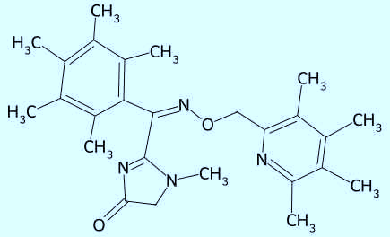 Cc1nc(CON=C(C2=NC(=O)CN2C)c2c(C)c(C)c(C)c(C)c2C)c(C)c(C)c1C